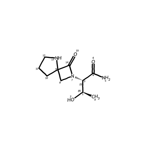 C[C@@H](O)[C@@H](C(N)=O)N1CC2(CCCN2)C1=O